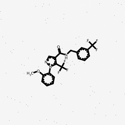 COc1ccccc1-n1ncc(C(=O)NCc2cccc(C(F)(F)F)c2)c1C(F)(F)F